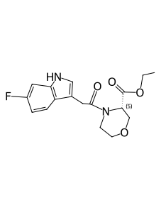 CCOC(=O)[C@@H]1COCCN1C(=O)Cc1c[nH]c2cc(F)ccc12